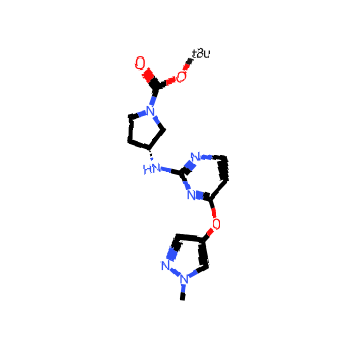 Cn1cc(Oc2ccnc(N[C@@H]3CCN(C(=O)OC(C)(C)C)C3)n2)cn1